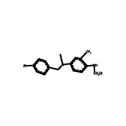 CCOC(=O)Nc1ccc(N(C)Cc2ccc(C(C)C)cc2)cc1C(F)(F)F